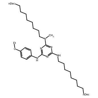 CCCCCCCCCCCCCCCCCCNc1nc(Nc2ccc(OCC)cc2)nc(N(C)CCCCCCCCCCCCCCCCCC)n1